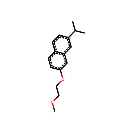 COCCOc1ccc2ccc(C(C)C)cc2c1